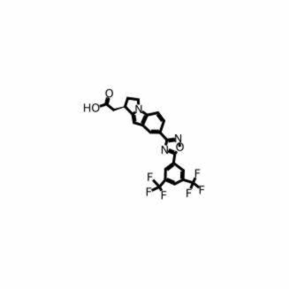 O=C(O)C[C@H]1CCn2c1cc1cc(-c3noc(-c4cc(C(F)(F)F)cc(C(F)(F)F)c4)n3)ccc12